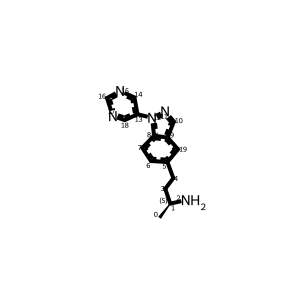 C[C@H](N)CCc1ccc2c(cnn2-c2cncnc2)c1